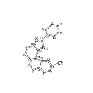 Clc1ccc2ccc3ccc4oc(-c5ccccc5)nc4c3c2c1